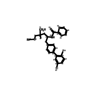 CCOCC(C)(CC(Cc1ccc(-c2cc(Cl)ccc2F)cc1)NC(=O)c1ncccn1)C(=O)O